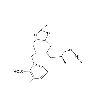 Cc1cc(C)c(C(=O)O)c(/C=C/CC2OC(C)(C)O[C@@H]2C/C=C\[C@H](C)CN=[N+]=[N-])c1